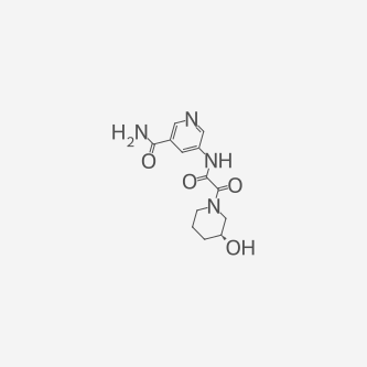 NC(=O)c1cncc(NC(=O)C(=O)N2CCC[C@H](O)C2)c1